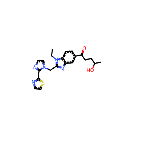 CCn1c(Cn2ccnc2-c2nccs2)nc2cc(C(=O)CCC(C)O)ccc21